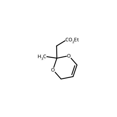 CCOC(=O)CC1(C)OC=CCO1